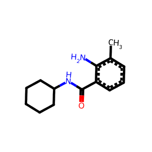 Cc1cccc(C(=O)NC2CCCCC2)c1N